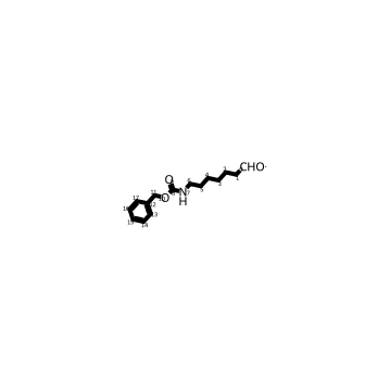 O=[C]CCCCCCNC(=O)OCc1ccccc1